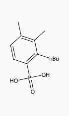 CCCCc1c(P(=O)(O)O)ccc(C)c1C